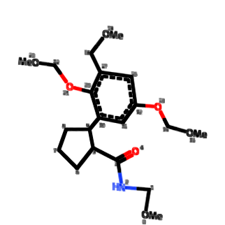 COCNC(=O)C1CCCC1c1cc(OCOC)cc(COC)c1OCOC